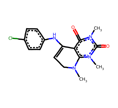 CN1CC=C(Nc2ccc(Cl)cc2)c2c1n(C)c(=O)n(C)c2=O